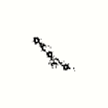 Cc1ccc(OC(=O)N2CCN(Cc3cccc(OCCc4nc(-c5ccccc5)oc4C)c3)C(C(=O)O)C2)cc1